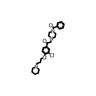 O=C(CN1CCN(C(=O)c2ccccc2)CC1)c1ccc(OCCCN2CCCCC2)c(Cl)c1